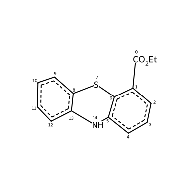 CCOC(=O)c1cccc2c1Sc1ccccc1N2